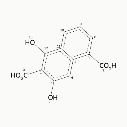 O=C(O)c1c(O)cc2c(C(=O)O)cccc2c1O